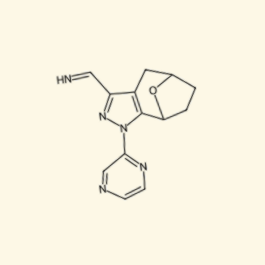 N=Cc1nn(-c2cnccn2)c2c1CC1CCC2O1